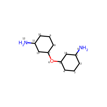 NC1CCCC(OC2CCCC(N)C2)C1